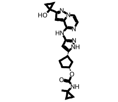 CC1(NC(=O)O[C@@H]2CC[C@H](c3cc(Nc4nccn5nc(C6(O)CC6)cc45)n[nH]3)C2)CC1